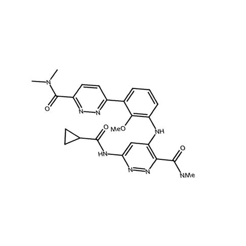 CNC(=O)c1nnc(NC(=O)C2CC2)cc1Nc1cccc(-c2ccc(C(=O)N(C)C)nn2)c1OC